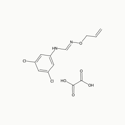 C=CCO/N=C/Nc1cc(Cl)cc(Cl)c1.O=C(O)C(=O)O